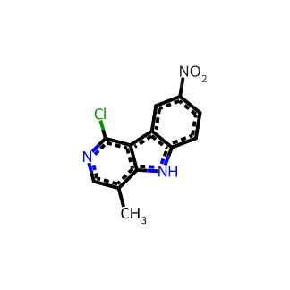 Cc1cnc(Cl)c2c1[nH]c1ccc([N+](=O)[O-])cc12